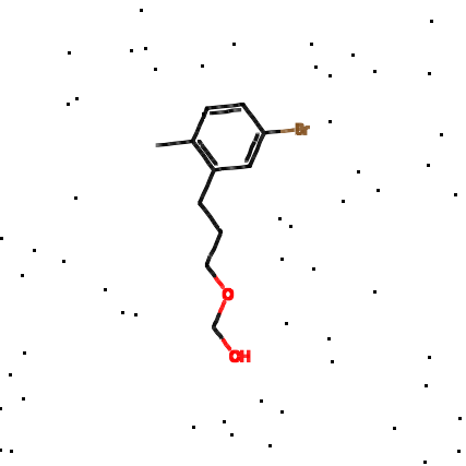 Cc1ccc(Br)cc1CCCOCO